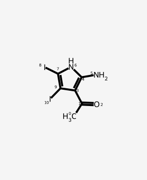 CC(=O)c1c(N)[nH]c(I)c1I